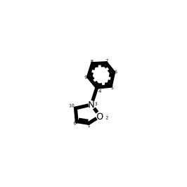 [C]1=CON(c2ccccc2)C1